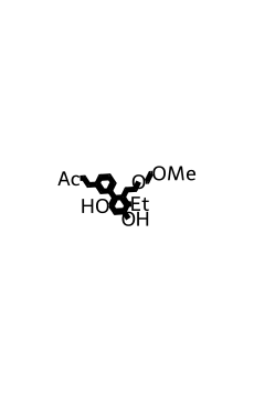 CCc1c(O)cc(O)c(-c2cccc(CCC(C)=O)c2)c1CCOCCOC